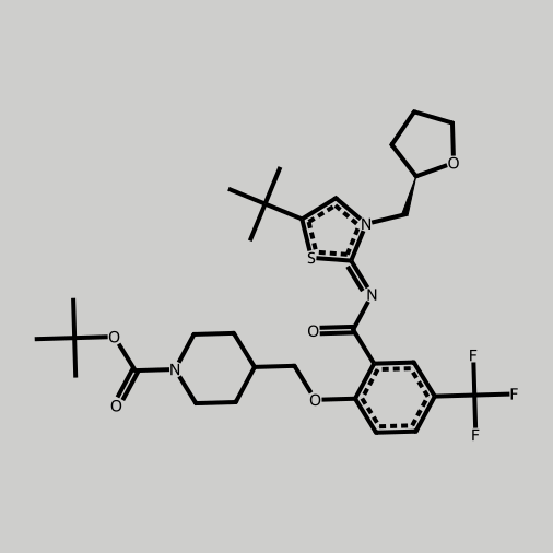 CC(C)(C)OC(=O)N1CCC(COc2ccc(C(F)(F)F)cc2C(=O)/N=c2\sc(C(C)(C)C)cn2C[C@H]2CCCO2)CC1